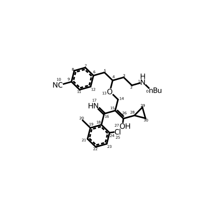 CCCCNCCC(Cc1ccc(C#N)cc1)OC/C(C(=N)c1c(C)cccc1Cl)=C(/O)C1CC1